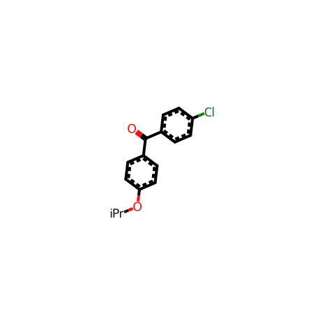 CC(C)Oc1ccc(C(=O)c2ccc(Cl)cc2)cc1